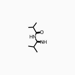 CC(C)C(=N)NC(=O)C(C)C